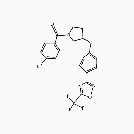 O=C(c1ccc(Cl)cc1)N1CCC(Oc2ccc(-c3noc(C(F)(F)F)n3)cc2)C1